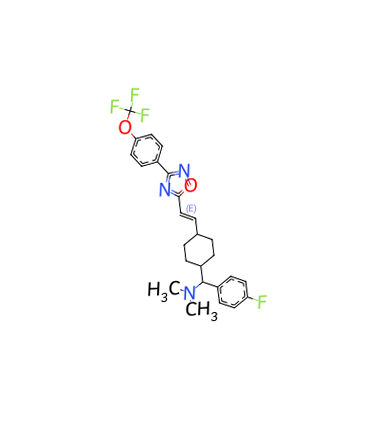 CN(C)C(c1ccc(F)cc1)C1CCC(/C=C/c2nc(-c3ccc(OC(F)(F)F)cc3)no2)CC1